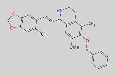 COc1cc2c(c(C(F)(F)F)c1OCc1ccccc1)CCNC2/C=C/c1cc2c(cc1C)OCO2